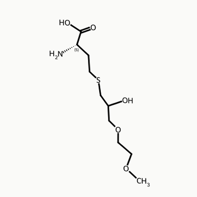 COCCOCC(O)CSCC[C@H](N)C(=O)O